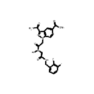 COC(=O)c1ccc2c(c1)c(C(N)=O)nn2CC(=O)N(CC(=O)NCc1cccc(Cl)c1F)C(C)C